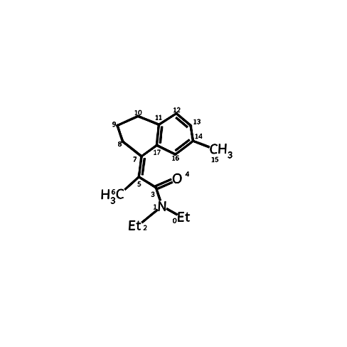 CCN(CC)C(=O)C(C)=C1CCCc2ccc(C)cc21